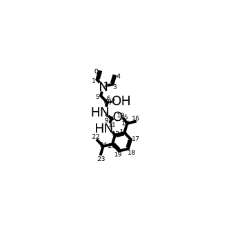 C=CN(C=C)C[C@@H](O)NC(=O)Nc1c(C(C)C)cccc1C(C)C